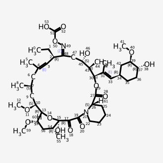 CC[C@@H]1/C=C(\C)C[C@H](C)C[C@H](OC)[C@H]2O[C@@](O)(C(=O)C(=O)N3CCCC[C@H]3C(=O)O[C@H](/C(C)=C/[C@@H]3CC[C@@H](O)[C@H](OC)C3)[C@H](C)[C@@H](O)C/C1=N/OC(=O)O)[C@H](C)C[C@@H]2OC